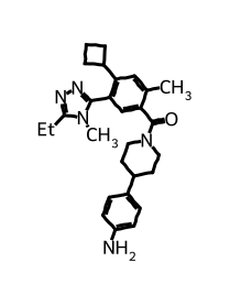 CCc1nnc(-c2cc(C(=O)N3CCC(c4ccc(N)cc4)CC3)c(C)cc2C2CCC2)n1C